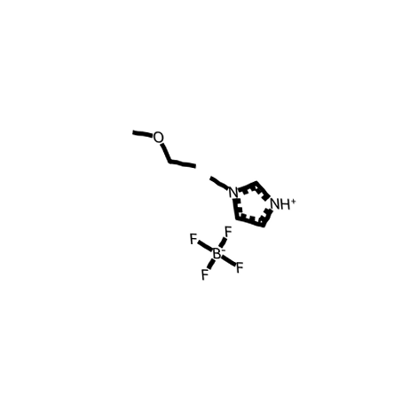 CCOC.Cn1cc[nH+]c1.F[B-](F)(F)F